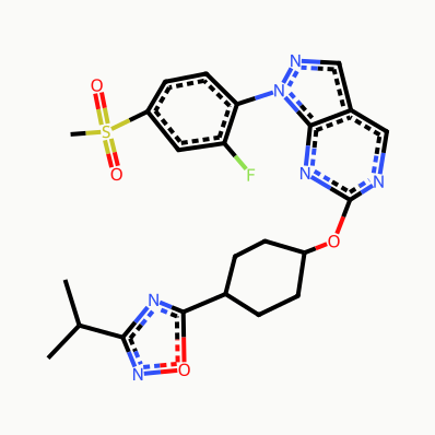 CC(C)c1noc(C2CCC(Oc3ncc4cnn(-c5ccc(S(C)(=O)=O)cc5F)c4n3)CC2)n1